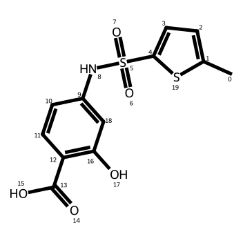 Cc1ccc(S(=O)(=O)Nc2ccc(C(=O)O)c(O)c2)s1